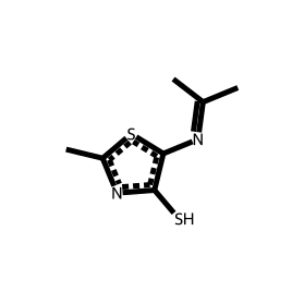 CC(C)=Nc1sc(C)nc1S